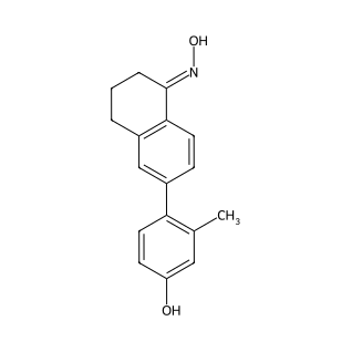 Cc1cc(O)ccc1-c1ccc2c(c1)CCC/C2=N\O